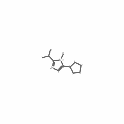 CC(C)c1ncc(C2CCCC2)n1C